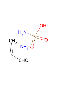 C=CC=O.N.NS(=O)(=O)O